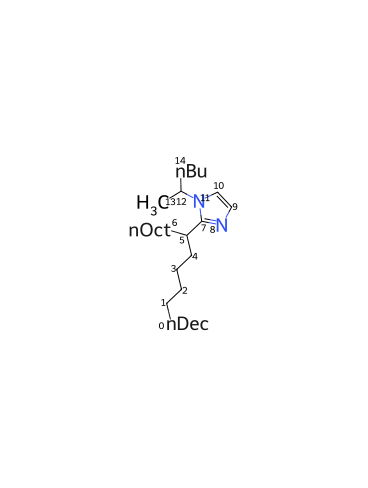 CCCCCCCCCCCCCCC(CCCCCCCC)c1nccn1C(C)CCCC